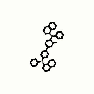 CC1CC(c2ccc(N(c3ccccc3)c3cccc4ccccc34)cc2)=CC=C1N(c1ccccc1)C1CC=Cc2ccccc21